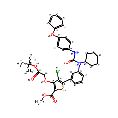 COC(=O)c1sc(-c2cccc(N(C(=O)Nc3ccc(Oc4ccccc4)cc3)C3CCCCC3)c2)c(Br)c1OCC(=O)OC(C)(C)C